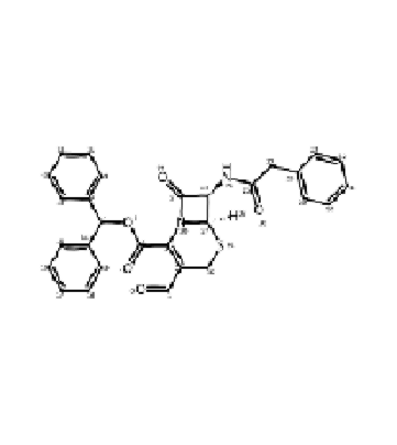 O=CC1=C(C(=O)OC(c2ccccc2)c2ccccc2)N2C(=O)[C@@H](NC(=O)Cc3ccccc3)[C@H]2SC1